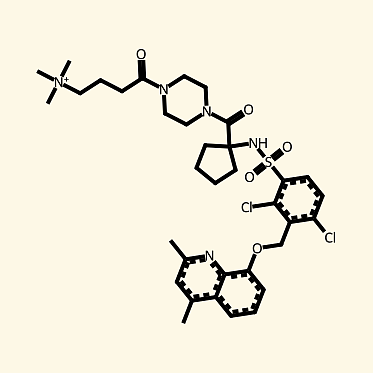 Cc1cc(C)c2cccc(OCc3c(Cl)ccc(S(=O)(=O)NC4(C(=O)N5CCN(C(=O)CCC[N+](C)(C)C)CC5)CCCC4)c3Cl)c2n1